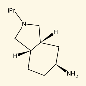 CC(C)N1C[C@H]2CC[C@H](N)C[C@H]2C1